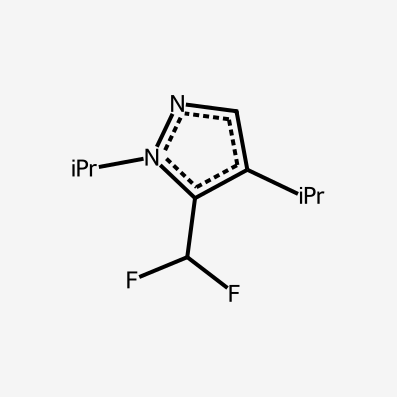 CC(C)c1cnn(C(C)C)c1C(F)F